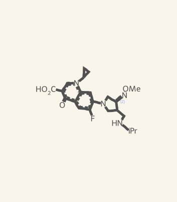 CO/N=C1\CN(c2cc3c(cc2F)c(=O)c(C(=O)O)cn3C2CC2)CC1CNC(C)C